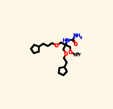 CCCOCC(COCCCC1CCCC1)(COCCC1CCCC1)NC(N)=O